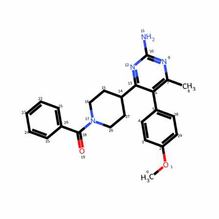 COc1ccc(-c2c(C)nc(N)nc2C2CCN(C(=O)c3ccccc3)CC2)cc1